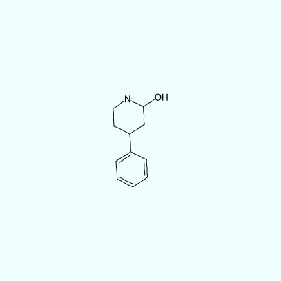 OC1CC(c2ccccc2)CC[N]1